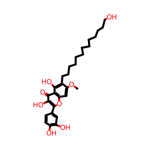 COc1cc2oc(-c3ccc(O)c(O)c3)c(O)c(=O)c2c(O)c1CCCCCCCCCCCCCO